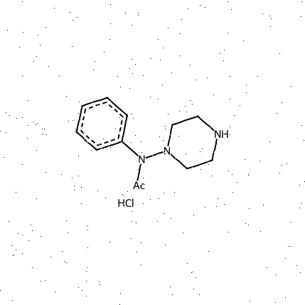 CC(=O)N(c1ccccc1)N1CCNCC1.Cl